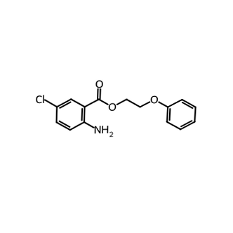 Nc1ccc(Cl)cc1C(=O)OCCOc1ccccc1